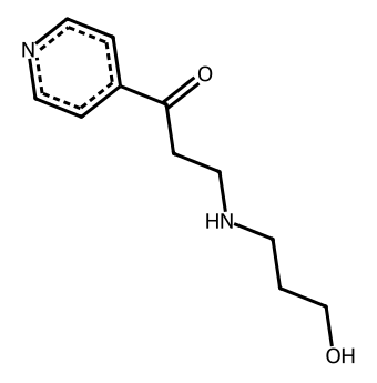 O=C(CCNCCCO)c1ccncc1